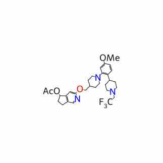 COc1ccc(C2CCN(CC(F)(F)F)CC2)c(N2CCC(COc3cc4c(cn3)CCC4OC(C)=O)CC2)c1